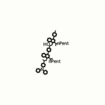 CCCCCC(C)c1cc(-c2ccc(C(O)Cc3c(C(C)CCCCC)cc(-c4ccc(C)cc4)c4ccccc34)cc2)c2ccccc2c1CC(C)c1ccc(N(c2ccccc2)c2ccccc2)cc1